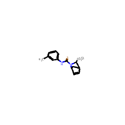 CCOC(=O)C1C2C=CC(C2)N1C(=S)Nc1cccc(C(F)(F)F)c1